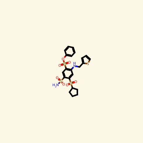 NS(=O)(=O)c1cc(S(=O)(=O)Oc2ccccc2)c(NCc2cccs2)cc1S(=O)(=O)C1CCCC1